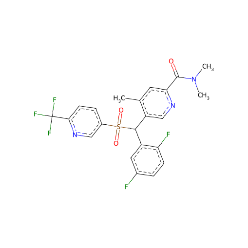 Cc1cc(C(=O)N(C)C)ncc1C(c1cc(F)ccc1F)S(=O)(=O)c1ccc(C(F)(F)F)nc1